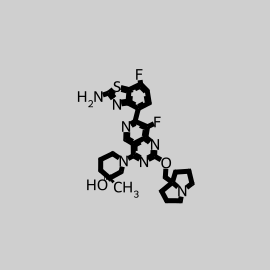 C[C@@]1(O)CCCN(c2nc(OCC34CCCN3CCC4)nc3c(F)c(-c4ccc(F)c5sc(N)nc45)ncc23)C1